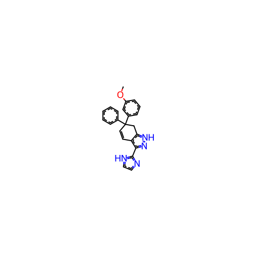 COc1cccc(C2(c3ccccc3)C=Cc3c(-c4ncc[nH]4)n[nH]c3C2)c1